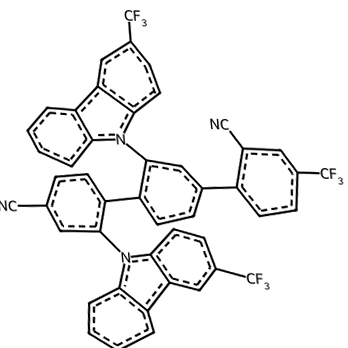 N#Cc1ccc(-c2ccc(-c3ccc(C(F)(F)F)cc3C#N)cc2-n2c3ccccc3c3cc(C(F)(F)F)ccc32)c(-n2c3ccccc3c3cc(C(F)(F)F)ccc32)c1